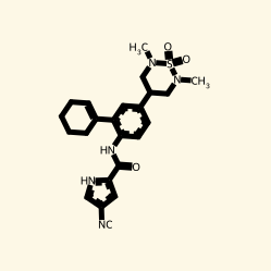 [C-]#[N+]c1c[nH]c(C(=O)Nc2ccc(C3CN(C)S(=O)(=O)N(C)C3)cc2C2=CCCCC2)c1